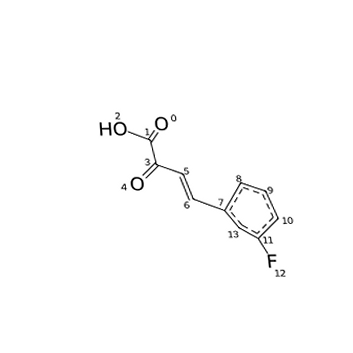 O=C(O)C(=O)/C=C/c1cccc(F)c1